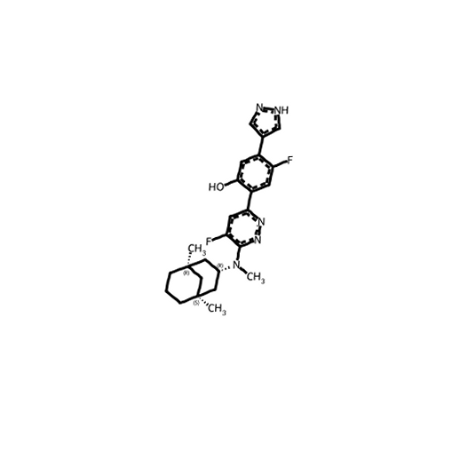 CN(c1nnc(-c2cc(F)c(-c3cn[nH]c3)cc2O)cc1F)[C@H]1C[C@]2(C)CCC[C@](C)(C1)C2